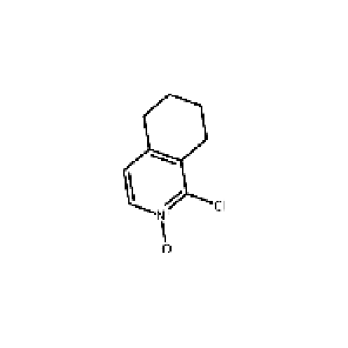 [O-][n+]1ccc2c(c1Cl)CCCC2